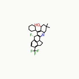 CC1(C)Cc2nc3c(c(C4CCCCC4)c2[C@@H](O)C1)[C@@H](F)c1ccc(C(F)(F)F)c2c1C3CC2